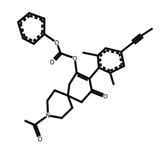 CC#Cc1cc(C)c(C2=C(OC(=O)Oc3ccccc3)CC3(CCN(C(C)=O)CC3)CC2=O)c(C)c1